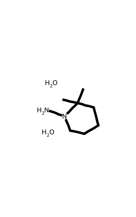 CC1(C)CCCCN1N.O.O